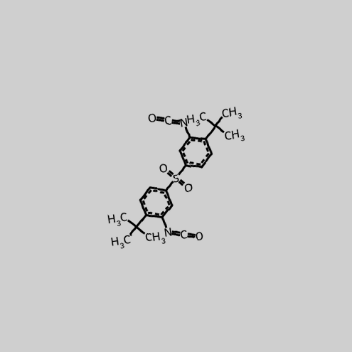 CC(C)(C)c1ccc(S(=O)(=O)c2ccc(C(C)(C)C)c(N=C=O)c2)cc1N=C=O